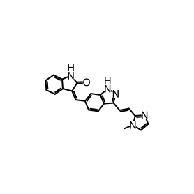 Cn1ccnc1/C=C/c1n[nH]c2cc(C=C3C(=O)Nc4ccccc43)ccc12